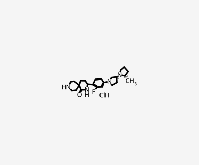 C[C@H]1CCCN1[C@H]1CCN(c2ccc(C3CCC4(CCNCC4)C(=O)N3)c(F)c2)C1.Cl